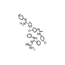 CC(=Nc1ccc(Cl)cc1)Nc1ccc(Cl)cc1.N=C(N)CN=C(Nc1ccccc1)c1ccccc1.NC(=Nc1ccccc1)c1ccccc1